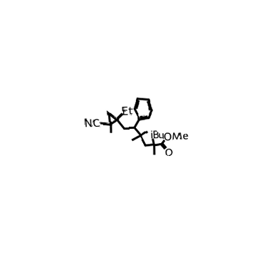 CCC(C)C(C)(CC(C)(C)C(CC1(CC)CC1(C)C#N)c1ccccc1)C(=O)OC